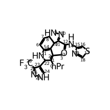 CCCC1=C(C)C2=C(C=CC3NN=C(C(=O)Nc4cscn4)C23)NC1c1c[nH]nc1C(F)(F)F